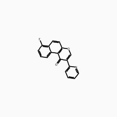 O=c1c(-c2ccccn2)coc2ccc3c(F)cccc3c12